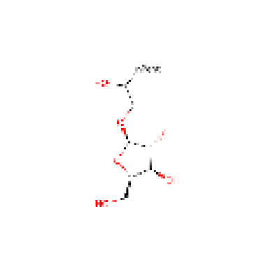 CCCCCC(O)CO[C@@H]1O[C@H](CO)[C@H](O)[C@H]1O